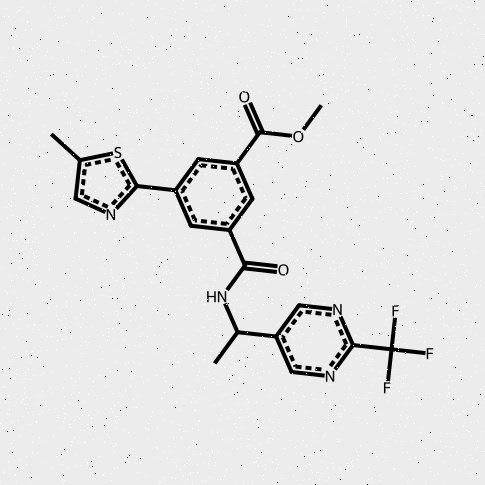 COC(=O)c1cc(C(=O)NC(C)c2cnc(C(F)(F)F)nc2)cc(-c2ncc(C)s2)c1